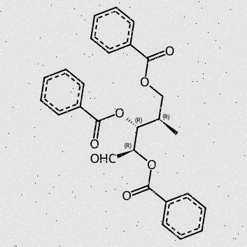 C[C@H](COC(=O)c1ccccc1)[C@@H](OC(=O)c1ccccc1)[C@H](C=O)OC(=O)c1ccccc1